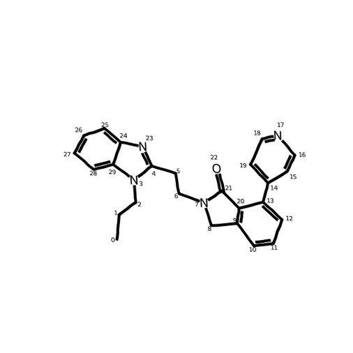 CCCn1c(CCN2Cc3cccc(-c4ccncc4)c3C2=O)nc2ccccc21